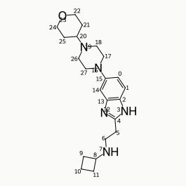 c1cc2[nH]c(CCNC3CCC3)nc2cc1N1CCN(C2CCOCC2)CC1